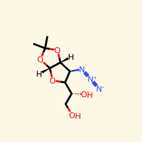 CC1(C)O[C@H]2OC([C@H](O)CO)[C@H](N=[N+]=[N-])[C@H]2O1